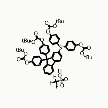 CC(C)(C)OC(=O)Oc1ccc([S+](c2ccc(OC(=O)OC(C)(C)C)cc2)c2ccc3c(c2)C(c2ccc(OC(=O)OC(C)(C)C)cc2)(c2ccc(OC(=O)OC(C)(C)C)cc2)c2ccccc2-3)cc1.O=S(=O)(O)C(F)(F)F